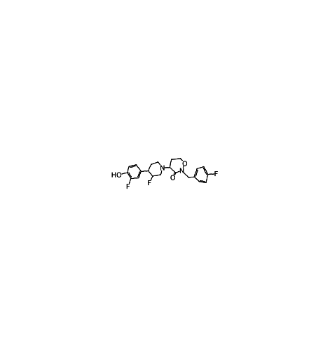 O=C1C(N2CCC(c3ccc(O)c(F)c3)C(F)C2)CCON1Cc1ccc(F)cc1